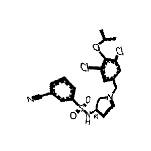 CC(C)Oc1c(Cl)cc(CN2CC[C@@H](NS(=O)(=O)c3cccc(C#N)c3)C2)cc1Cl